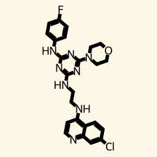 Fc1ccc(Nc2nc(NCCNc3ccnc4cc(Cl)ccc34)nc(N3CCOCC3)n2)cc1